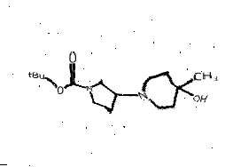 CC1(O)CCN(C2CCN(C(=O)OC(C)(C)C)C2)CC1